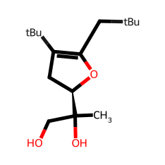 CC(C)(C)CC1=C(C(C)(C)C)C[C@H](C(C)(O)CO)O1